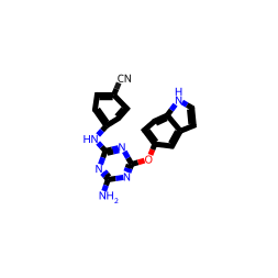 N#Cc1ccc(Nc2nc(N)nc(Oc3ccc4[nH]ccc4c3)n2)cc1